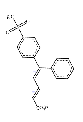 O=C(O)/C=C/C=C(\c1ccccc1)c1ccc(S(=O)(=O)C(F)(F)F)cc1